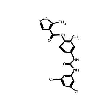 Cc1cc(NC(=O)Nc2cc(Cl)cc(Cl)c2)ccc1NC(=O)c1cnoc1C